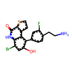 NCCc1ccc(-c2c(O)cc(Br)c3[nH]c(=O)c4sccc4c23)cc1F